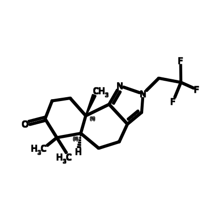 CC1(C)C(=O)CC[C@]2(C)c3nn(CC(F)(F)F)cc3CC[C@@H]12